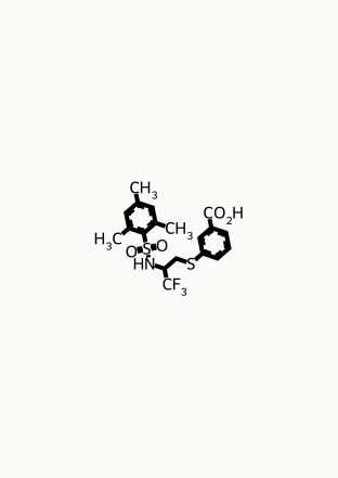 Cc1cc(C)c(S(=O)(=O)NC(CSc2cccc(C(=O)O)c2)C(F)(F)F)c(C)c1